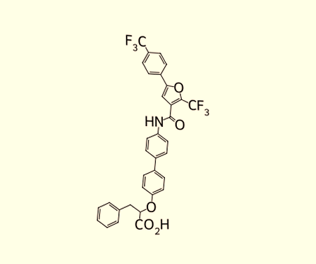 O=C(Nc1ccc(-c2ccc(OC(Cc3ccccc3)C(=O)O)cc2)cc1)c1cc(-c2ccc(C(F)(F)F)cc2)oc1C(F)(F)F